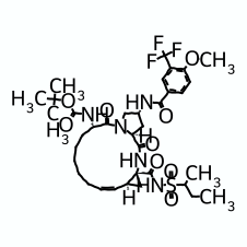 CCC(C)S(=O)(=O)NC(=O)[C@@]12C[C@H]1/C=C\CCCCC[C@H](NC(=O)OC(C)(C)C)C(=O)N1C[C@H](NC(=O)c3ccc(OC)c(C(F)(F)F)c3)C[C@H]1C(=O)N2